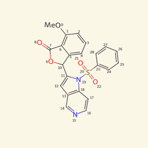 COc1cccc2c1C(=O)OC2c1cc2cnccc2n1S(=O)(=O)c1ccccc1